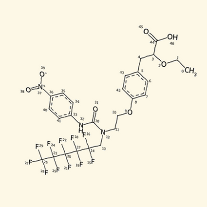 CCOC(Cc1ccc(OCCN(CC(F)(F)C(F)(F)C(F)(F)C(F)(F)C(F)(F)F)C(=O)Nc2ccc([N+](=O)[O-])cc2)cc1)C(=O)O